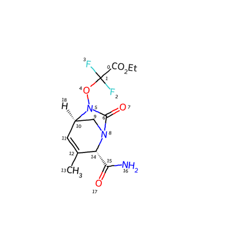 CCOC(=O)C(F)(F)ON1C(=O)N2C[C@H]1C=C(C)[C@H]2C(N)=O